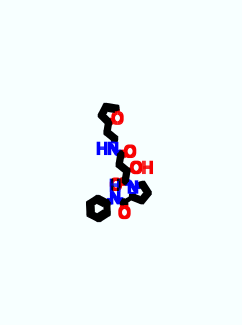 O=C(C[C@@H](O)C(=O)N1CCC[C@H]1C(=O)Nc1ccccc1)NCCC1CC=CO1